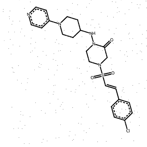 O=C1CN(S(=O)(=O)/C=C/c2ccc(Cl)cc2)CCN1NC1CCN(c2ccncc2)CC1